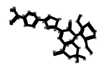 CCc1cccc(CC)c1-n1c2c(cc(-c3nc(-c4ccc(C(=O)O)cc4)cs3)c1=O)C(=O)CC(C)(C)C2